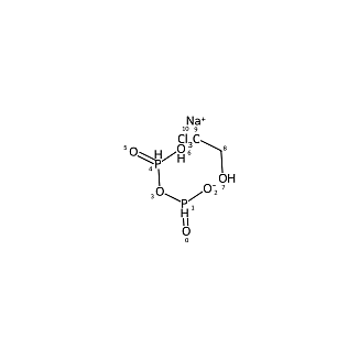 O=[PH]([O-])O[PH](=O)O.OCC(Cl)(Cl)Cl.[Na+]